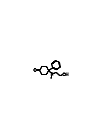 CN(CCO)C1(c2ccccc2)CCC(=O)CC1